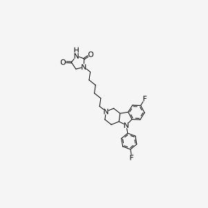 O=C1CN(CCCCCCN2CCC3C(C2)c2cc(F)ccc2N3c2ccc(F)cc2)C(=O)N1